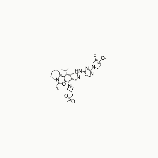 C=CC(=O)N1CCCCC[C@H]1c1cc(N2CC(CS(C)(=O)=O)C2)c2cnc(Nc3ccnc(N4CC[C@H](OC)[C@H](F)C4)n3)cc2c1C(C)C